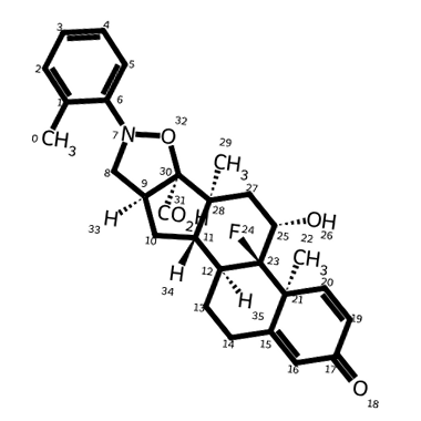 Cc1ccccc1N1C[C@@H]2C[C@H]3[C@@H]4CCC5=CC(=O)C=C[C@]5(C)[C@@]4(F)[C@@H](O)C[C@]3(C)[C@]2(C(=O)O)O1